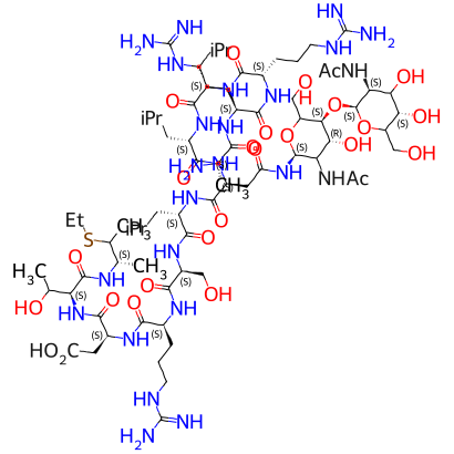 CCSC(C)[C@H](C)NC(=O)[C@@H](NC(=O)[C@H](CC(=O)O)NC(=O)[C@H](CCCNC(=N)N)NC(=O)[C@H](CO)NC(=O)[C@H](CC(C)C)NC(=O)[C@H](CC(=O)N[C@H]1OC(CO)[C@@H](O[C@@H]2OC(CO)[C@@H](O)C(O)[C@@H]2NC(C)=O)[C@H](O)C1NC(C)=O)NC(=O)[C@H](CC(C)C)NC(=O)[C@H](CC(C)C)NC(=O)[C@H](CCCNC(=N)N)NC(=O)[C@H](CCCNC(=N)N)NC(=O)[C@H](C)N)C(C)O